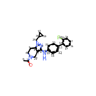 CC(=O)N1CCc2c(c(Nc3ccc(-c4ccccc4F)cc3)nn2CC2CC2)C1